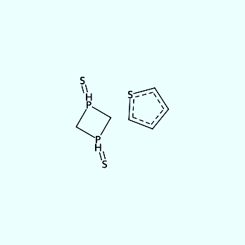 S=[PH]1C[PH](=S)C1.c1ccsc1